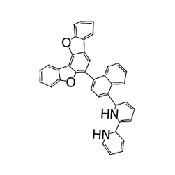 C1=CNC(C2=CC=CC(c3ccc(-c4cc5c6ccccc6oc5c5c4oc4ccccc45)c4ccccc34)N2)C=C1